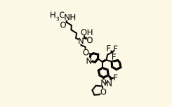 CNC(=O)CCCCN(CCOc1ccc(C(=C(CC(F)(F)F)c2ccccc2)c2ccc3c(c2)c(F)nn3C2CCCCO2)cn1)C(=O)O